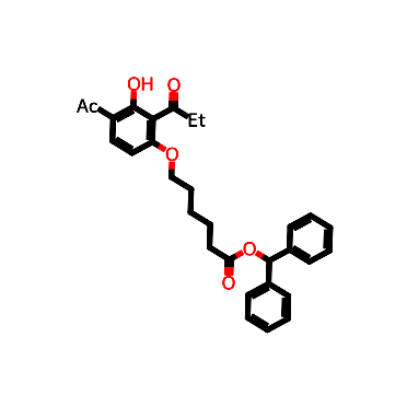 CCC(=O)c1c(OCCCCCC(=O)OC(c2ccccc2)c2ccccc2)ccc(C(C)=O)c1O